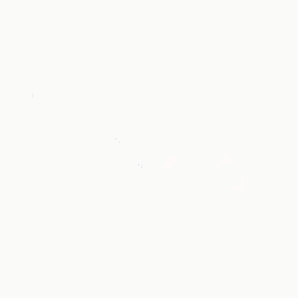 CCc1ccc(-c2nc(NC(=O)C3(c4ccc5c(c4)OC(F)(F)O5)CC3)ccc2C)cc1